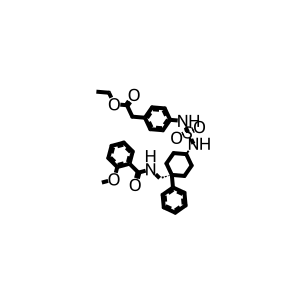 CCOC(=O)Cc1ccc(NS(=O)(=O)N[C@H]2CC[C@](CNC(=O)c3ccccc3OC)(c3ccccc3)CC2)cc1